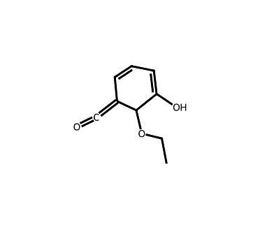 CCOC1C(=C=O)C=CC=C1O